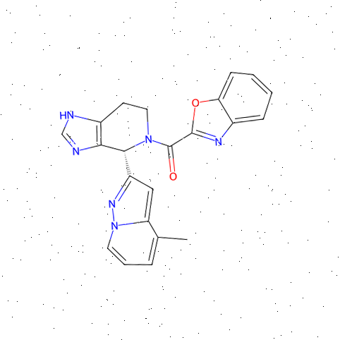 Cc1cccn2nc([C@@H]3c4nc[nH]c4CCN3C(=O)c3nc4ccccc4o3)cc12